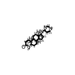 CN1C(=O)C=C[C@@]2(C)C1CC[C@@H]1[C@H]2CC[C@]2(C)C(Nc3ccncn3)CC[C@@H]12